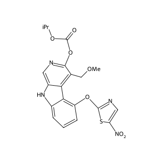 COCc1c(OC(=O)OC(C)C)ncc2[nH]c3cccc(Oc4ncc([N+](=O)[O-])s4)c3c12